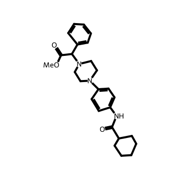 COC(=O)C(c1ccccc1)N1CCN(c2ccc(NC(=O)C3CCCCC3)cc2)CC1